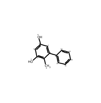 Cc1c(O)cc(O)cc1-c1ccccc1